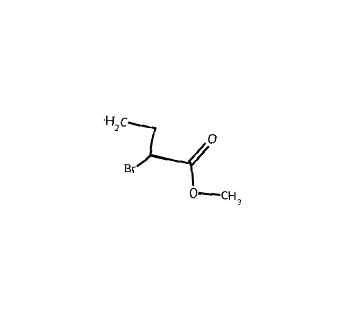 [CH2]CC(Br)C(=O)OC